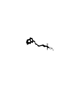 [CH2]C(F)(F)CCCCCCc1ccc2ccccc2c1